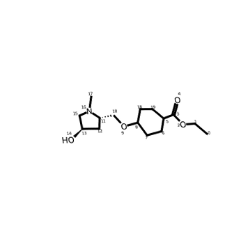 CCOC(=O)C1CCC(OC[C@@H]2C[C@@H](O)CN2C)CC1